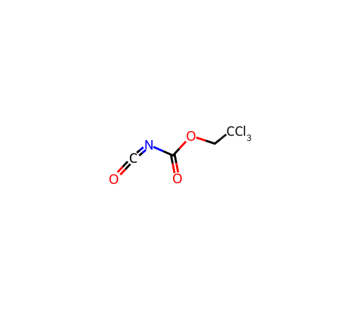 O=C=NC(=O)OCC(Cl)(Cl)Cl